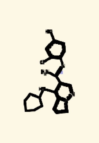 N/C(=N\c1ccc(O)cc1Cl)c1cnn2cccc2c1NC1CCCCC1